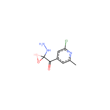 Cc1cc(C(=O)C2(NN)BO2)cc(Cl)n1